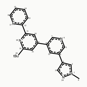 Cn1cc(-c2cncc(-c3cc(-c4ccccn4)nc(C(C)(C)C)c3)c2)cn1